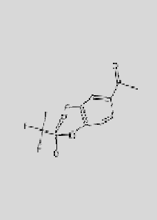 CC(=O)c1ccc(OS(=O)(=O)C(F)(F)F)c(F)c1